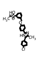 CNS(=O)(=O)c1cccc(COc2ccc(-c3nc(C)c(-c4ccc(Cl)cc4)[nH]3)cc2)c1